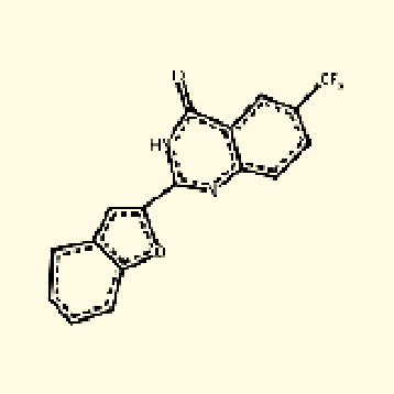 O=c1[nH]c(-c2cc3ccccc3o2)nc2ccc(C(F)(F)F)cc12